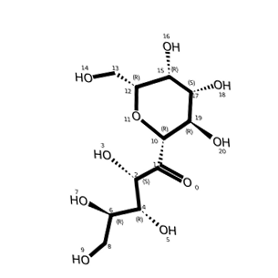 O=C([C@@H](O)[C@H](O)[C@H](O)CO)[C@@H]1O[C@H](CO)[C@H](O)[C@H](O)[C@H]1O